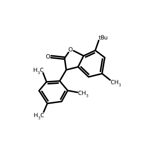 Cc1cc(C)c(C2C(=O)Oc3c2cc(C)cc3C(C)(C)C)c(C)c1